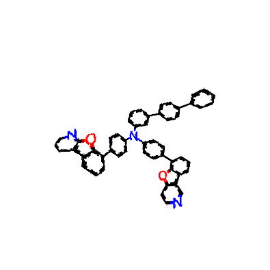 c1ccc(-c2ccc(-c3cccc(N(c4ccc(-c5cccc6c5oc5ccncc56)cc4)c4ccc(-c5cccc6c5oc5ncccc56)cc4)c3)cc2)cc1